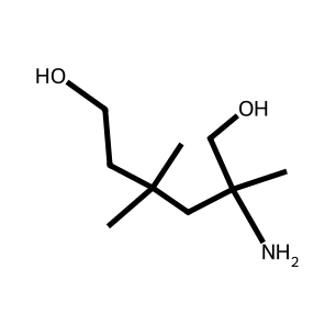 CC(C)(CCO)CC(C)(N)CO